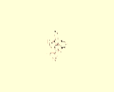 Cc1cccc(N/C(C2=C/C(=C/C=N)NC=C2)=C(\C=N)C(C)C)n1